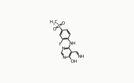 CS(=O)(=O)c1ccc(Nc2ncnc(O)c2C=N)c(F)c1